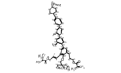 C=C(C)C(=O)OCCCc1cc(-c2ccc(-c3ccc(-c4ccc(C5CCC(CCCCC)CC5)cc4)cc3F)cc2CC)cc(CCCOC(=O)C(=C)C)c1OCC(CC)(CO)CO